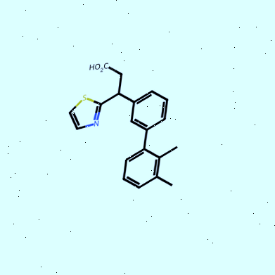 Cc1cccc(-c2cccc(C(CC(=O)O)c3nccs3)c2)c1C